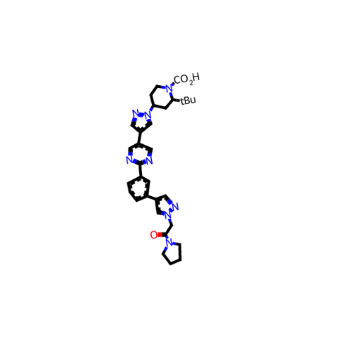 CC(C)(C)C1CC(n2cc(-c3cnc(-c4cccc(-c5cnn(CC(=O)N6CCCC6)c5)c4)nc3)cn2)CCN1C(=O)O